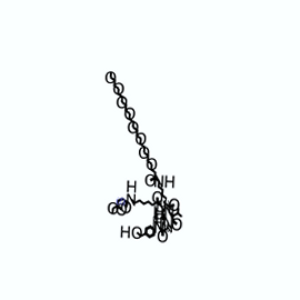 COCCOCCOCCOCCOCCOCCOCCOCCC(=O)NCCCC[C@H](NC(=O)CCCCCNC(=O)/C=C\C(=O)OC)C(=O)NC(C(=O)N[C@@H](C)C(=O)Nc1ccc(CO)cc1)C(C)C